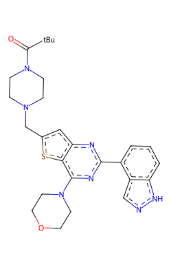 CC(C)(C)C(=O)N1CCN(Cc2cc3nc(-c4cccc5[nH]ncc45)nc(N4CCOCC4)c3s2)CC1